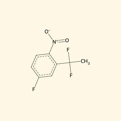 CC(F)(F)c1cc(F)ccc1[N+](=O)[O-]